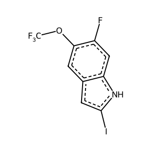 Fc1cc2[nH]c(I)cc2cc1OC(F)(F)F